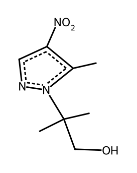 Cc1c([N+](=O)[O-])cnn1C(C)(C)CO